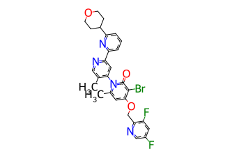 Cc1cnc(-c2cccc(C3CCOCC3)n2)cc1-n1c(C)cc(OCc2ncc(F)cc2F)c(Br)c1=O